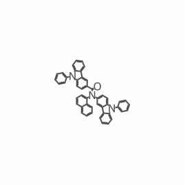 O=C(c1ccc2c(c1)c1ccccc1n2-c1ccccc1)N(c1ccc2c(c1)c1ccccc1n2-c1ccccc1)c1cccc2ccccc12